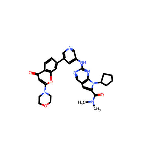 CN(C)C(=O)c1cc2cnc(Nc3cncc(-c4ccc5c(=O)cc(N6CCOCC6)oc5c4)c3)nc2n1C1CCCC1